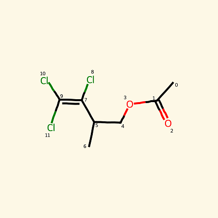 CC(=O)OCC(C)C(Cl)=C(Cl)Cl